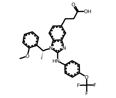 COc1ccccc1[C@@H](C)n1c(Nc2ccc(OC(F)(F)F)cc2)nc2cc(CCC(=O)O)ccc21